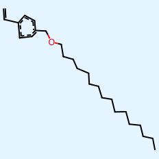 C=Cc1ccc(COCCCCCCCCCCCCCCCC)cc1